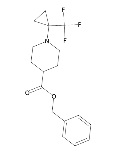 O=C(OCc1ccccc1)C1CCN(C2(C(F)(F)F)CC2)CC1